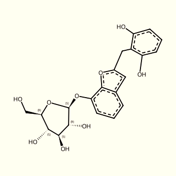 OC[C@H]1O[C@@H](Oc2cccc3cc(Cc4c(O)cccc4O)oc23)[C@H](O)[C@@H](O)[C@@H]1O